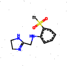 CCS(=O)(=O)c1ccccc1NCC1=NCCN1